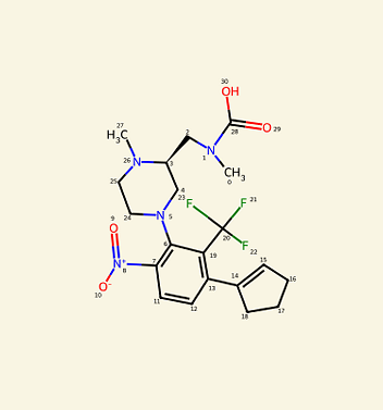 CN(C[C@H]1CN(c2c([N+](=O)[O-])ccc(C3=CCCC3)c2C(F)(F)F)CCN1C)C(=O)O